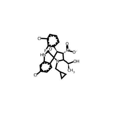 C[C@H](O)C1[C@@H]([N+](=O)[O-])[C@H](c2cccc(Cl)c2F)[C@]2(C(=O)Nc3cc(Cl)ccc32)N1CC1CC1